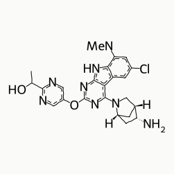 CNc1cc(Cl)cc2c1[nH]c1nc(Oc3cnc(C(C)O)nc3)nc(N3C[C@H]4C[C@@H]3C[C@H]4N)c12